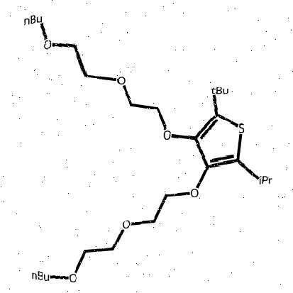 CCCCOCCOCCOc1c(C(C)C)sc(C(C)(C)C)c1OCCOCCOCCCC